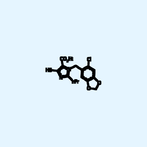 CCCc1nc(S)c(C(=O)OCC)n1Cc1cc2c(cc1Cl)OCO2